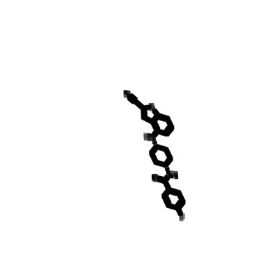 N#Cc1cc2c(N[C@H]3CC[C@@H](NC(=O)c4ccc(F)cc4)CC3)cccc2s1